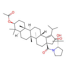 CC(=O)O[C@H]1CC[C@]2(C)[C@H]3CC[C@@H]4C5=C(C(C)C)C(=O)C[C@]5(C(=O)N5CCC[C@H]5C(C)(C)O)CC[C@@]4(C)[C@]3(C)CC[C@H]2C1(C)C